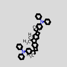 CCC1(c2ccc(N(c3ccccc3)c3ccccc3)cc2)Cc2cc3c(cc21)C(C)(C)c1cc2c(cc1-3)CC2(CC)c1ccc(N(c2ccccc2)c2ccccc2)cc1